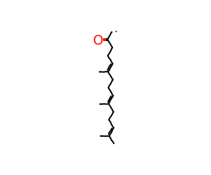 [CH2]C(=O)CC/C=C(\C)CC/C=C(\C)CCC=C(C)C